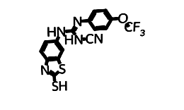 N#CN/C(=N\c1ccc(OC(F)(F)F)cc1)Nc1ccc2nc(S)sc2c1